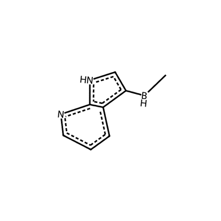 CBc1c[nH]c2ncccc12